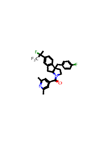 Cc1cc(C(=O)N2CCC3(Cc4ccc(F)cc4)c4ccc(C(C)(F)C(F)(F)F)cc4CC23)cc(C)n1